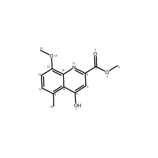 COC(=O)c1cc(O)c2c(C)ccc(OC)c2n1